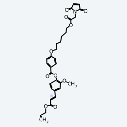 C=CCOC(=O)/C=C/c1ccc(OC(=O)c2ccc(OCCCCCCOC(=O)CN3C(=O)C=CC3=O)cc2)c(OC)c1